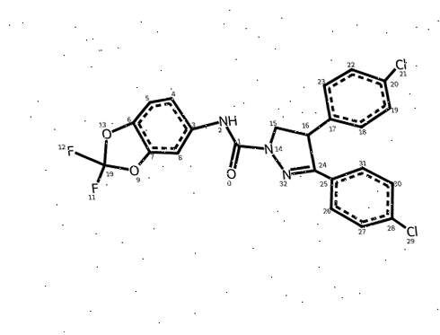 O=C(Nc1ccc2c(c1)OC(F)(F)O2)N1CC(c2ccc(Cl)cc2)C(c2ccc(Cl)cc2)=N1